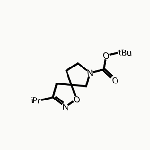 CC(C)C1=NOC2(CCN(C(=O)OC(C)(C)C)C2)C1